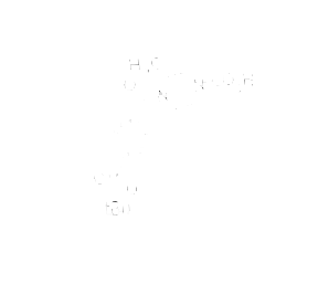 CC1CN(C(=O)O)CCN1C(=O)c1ccc(C(=O)OC(C)(C)C)cc1